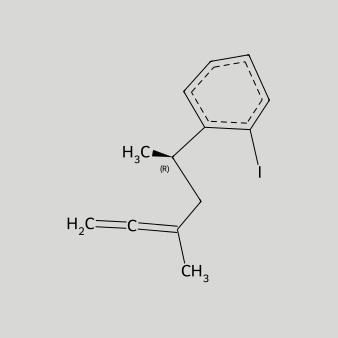 C=C=C(C)C[C@@H](C)c1ccccc1I